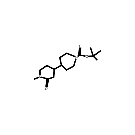 CN1CCC(C2CCN(C(=O)OC(C)(C)C)CC2)CC1=O